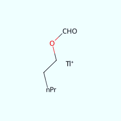 CCCCCO[C-]=O.[Tl+]